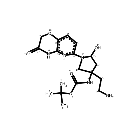 CC(C)(C)OC(=O)NC1(CCN)CC(O)N(c2ccc3c(n2)NC(=O)CO3)C1